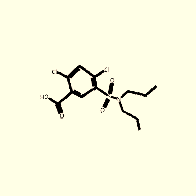 CCCN(CCC)S(=O)(=O)c1cc(C(=O)O)c(Cl)cc1Cl